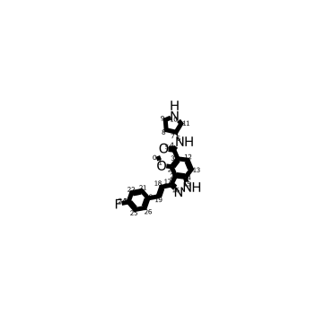 COc1c(C(=O)N[C@@H]2CCNC2)ccc2[nH]nc(/C=C/c3ccc(F)cc3)c12